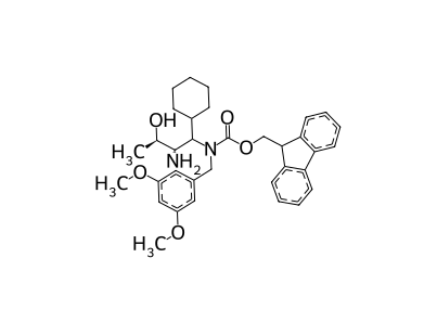 COc1cc(CN(C(=O)OCC2c3ccccc3-c3ccccc32)C(C2CCCCC2)[C@H](N)[C@@H](C)O)cc(OC)c1